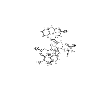 COCC(NC(=O)C(C)N)C(=O)N[C@@]1(Cc2ccc(Cl)cc2)CCCN(C(=O)C(CC(=O)O)[C@H]2CCc3ccccc32)C1.O=C(O)C(F)(F)F